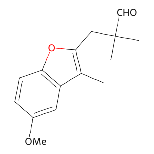 COc1ccc2oc(CC(C)(C)C=O)c(C)c2c1